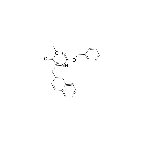 COC(=O)[C@@H](Cc1ccc2cccnc2c1)NC(=O)OCc1ccccc1